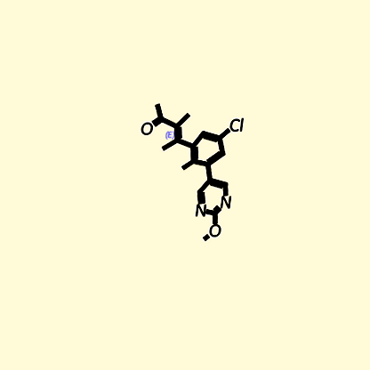 COc1ncc(-c2cc(Cl)cc(/C(C)=C(\C)C(C)=O)c2C)cn1